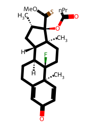 CCCC(=O)O[C@]1(C(=S)OC)[C@@H](C)C[C@H]2[C@@H]3CCC4=CC(=O)C=C[C@]4(C)[C@@]3(F)CC[C@@]21C